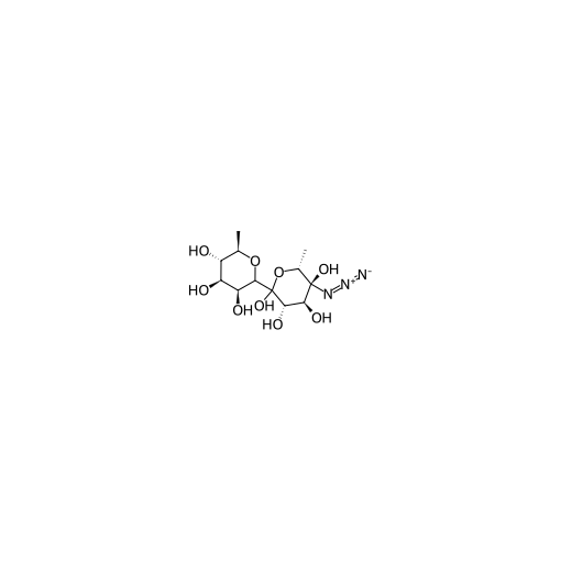 C[C@H]1OC(C2(O)O[C@H](C)[C@](O)(N=[N+]=[N-])[C@@H](O)[C@@H]2O)[C@@H](O)[C@@H](O)[C@@H]1O